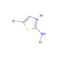 BrNc1ncc(Br)s1.[H+]